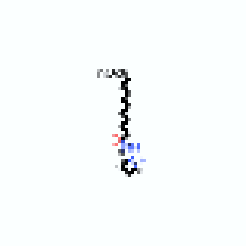 CCCCCCCCC=CCCCCCCCC(=O)NC[C@H]1CCCN1